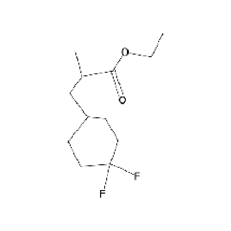 CCOC(=O)C(C)CC1CCC(F)(F)CC1